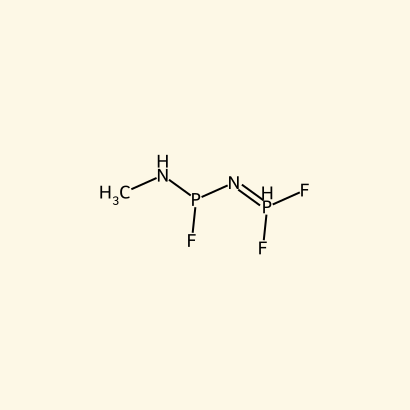 CNP(F)N=[PH](F)F